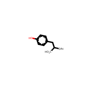 CC(=O)OC(Cc1ccc(O)cc1)C(=O)O